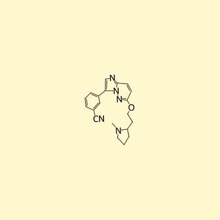 CN1CCCC1CCOc1ccc2ncc(-c3cccc(C#N)c3)n2n1